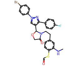 CNc1cc(CCN2C(=O)COC2c2cn(-c3ccc(Br)cc3)nc2-c2ccc(F)cc2)ccc1SC=O